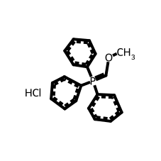 COC=P(c1ccccc1)(c1ccccc1)c1ccccc1.Cl